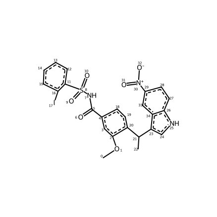 COc1cc(C(=O)NS(=O)(=O)c2ccccc2I)ccc1C(C)c1c[nH]c2ccc([N+](=O)[O-])cc12